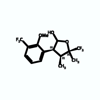 COc1c([C@H]2C(O)O[C@@](C)(C(F)(F)F)[C@H]2C)cccc1C(F)(F)F